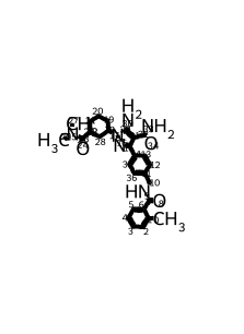 Cc1ccccc1C(=O)NCc1ccc(-c2nn(C3CCCC(C(=O)N(C)C)C3)c(N)c2C(N)=O)cc1